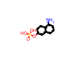 Nc1cccc2cc(OP(=O)(O)O)ccc12